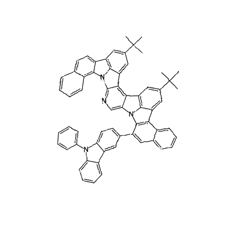 CC(C)(C)c1cc2c3c4c5cc(C(C)(C)C)cc6c7ccc8ccccc8c7n(c4ncc3n3c4c(-c7ccc8c(c7)c7ccccc7n8-c7ccccc7)cc7ccccc7c4c(c1)c23)c65